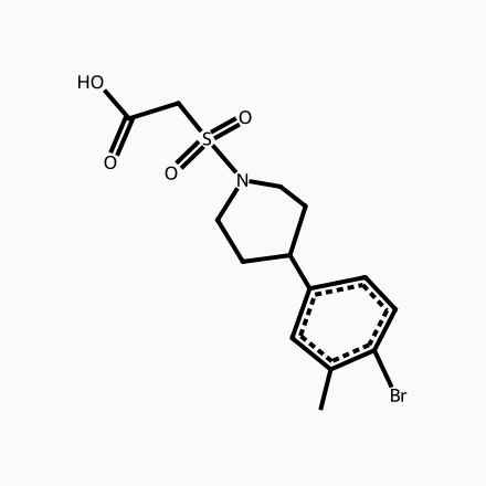 Cc1cc(C2CCN(S(=O)(=O)CC(=O)O)CC2)ccc1Br